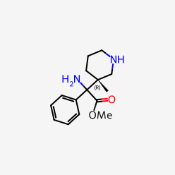 COC(=O)C(N)(c1ccccc1)[C@]1(C)CCCNC1